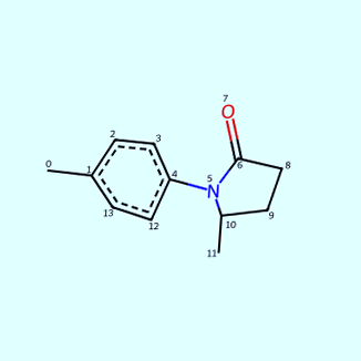 Cc1ccc(N2C(=O)CCC2C)cc1